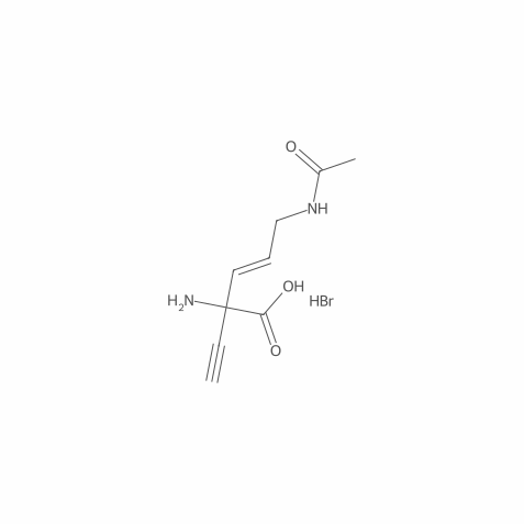 Br.C#CC(N)(C=CCNC(C)=O)C(=O)O